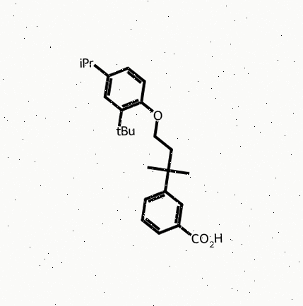 CC(C)c1ccc(OCCC(C)(C)c2cccc(C(=O)O)c2)c(C(C)(C)C)c1